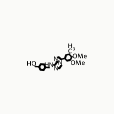 COC1=CC(c2cnc3c(NCc4ccc(CO)cc4)nccn23)=C[C@H](C)C1OC